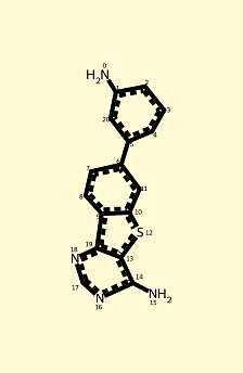 Nc1cccc(-c2ccc3c(c2)sc2c(N)ncnc23)c1